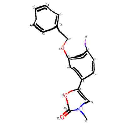 Cn1cc(-c2ccc(I)c(OCc3ccccc3)c2)oc1=O